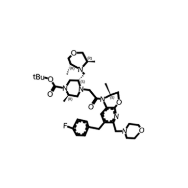 C[C@@H]1CN(CC(=O)N2c3cc(Cc4ccc(F)cc4)c(CN4CCOCC4)nc3OC[C@@H]2C)[C@@H](CN2[C@H](C)COC[C@H]2C)CN1C(=O)OC(C)(C)C